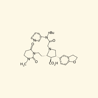 CCCCN(C(=O)CN1C[C@H](c2ccc3c(c2)CCO3)[C@@H](C(=O)O)[C@@H]1CCN1C(=O)CCN(C)C1=O)c1cccnc1